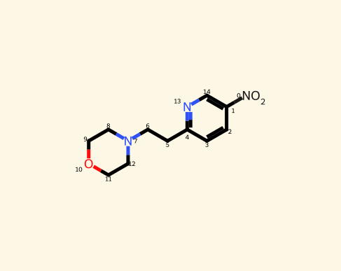 O=[N+]([O-])c1ccc(CCN2CCOCC2)nc1